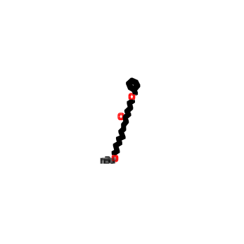 CCCCOCCCCCCCCCCC(=O)CCCCCOCc1ccccc1